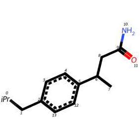 CC(C)Cc1ccc(C(C)CC(N)=O)cc1